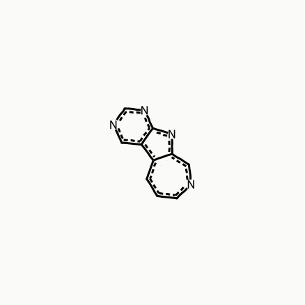 c1cncc2nc3ncncc3c-2c1